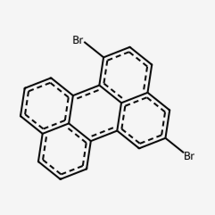 Brc1cc2ccc(Br)c3c4cccc5cccc(c(c1)c23)c54